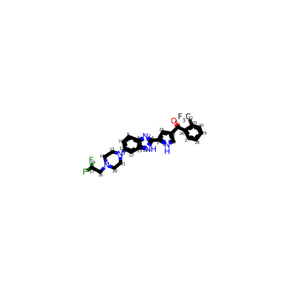 O=C(c1c[nH]c(-c2nc3ccc(N4CCN(CC(F)F)CC4)cc3[nH]2)c1)c1ccccc1C(F)(F)F